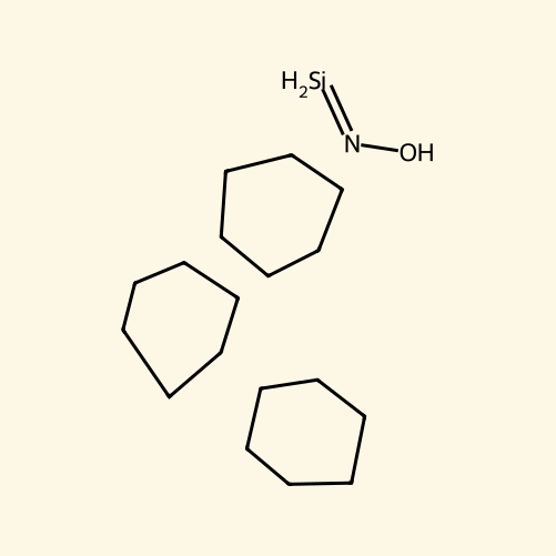 C1CCCCC1.C1CCCCC1.C1CCCCC1.ON=[SiH2]